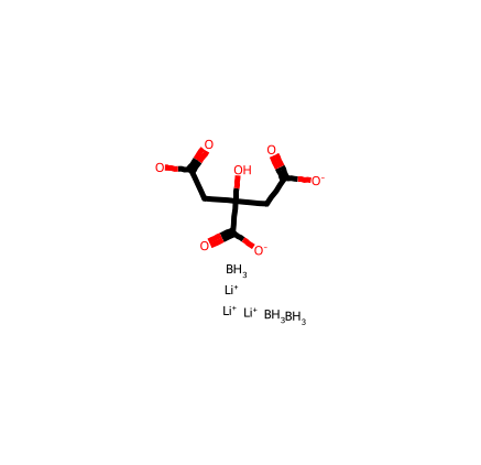 B.B.B.O=C([O-])CC(O)(CC(=O)[O-])C(=O)[O-].[Li+].[Li+].[Li+]